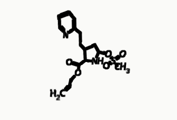 C=CCOC(=O)C1NC(OS(C)(=O)=O)CC1CCc1ccccn1